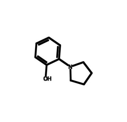 Oc1ccccc1N1CCCC1